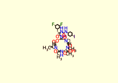 C[C@@H]1C[C@H]2C(=O)OC[C@H](NC(=O)[C@H](Cc3cc(F)cc(F)c3)NC(=O)Nc3ccc(I)cc3)C(=O)N3CCC[C@H]3C(=O)N(C)C([C@@H](C)O)C(=O)N[C@@H](C)C(=O)N2C1